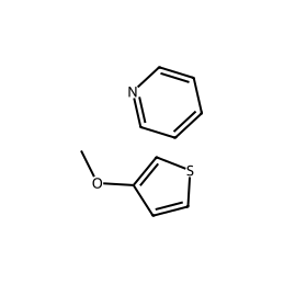 COc1ccsc1.c1ccncc1